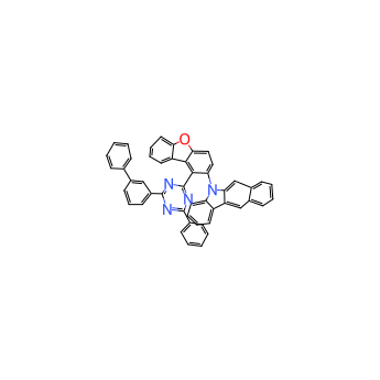 c1ccc(-c2cccc(-c3nc(-c4ccccc4)nc(-c4c(-n5c6ccccc6c6cc7ccccc7cc65)ccc5oc6ccccc6c45)n3)c2)cc1